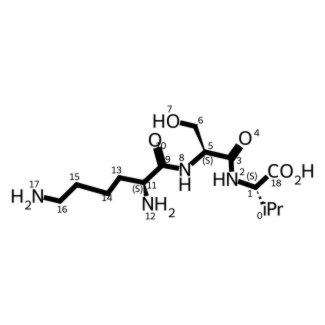 CC(C)[C@H](NC(=O)[C@H](CO)NC(=O)[C@@H](N)CCCCN)C(=O)O